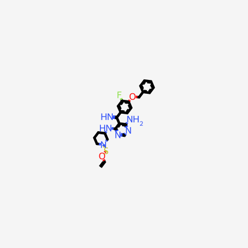 C=COSN1CCCC(Nc2ncnc(N)c2C(=N)c2ccc(OCc3ccccc3)c(F)c2)C1